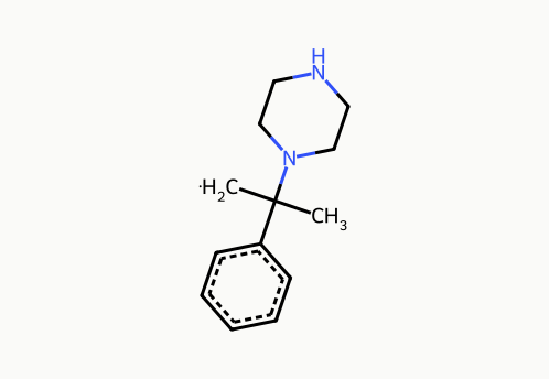 [CH2]C(C)(c1ccccc1)N1CCNCC1